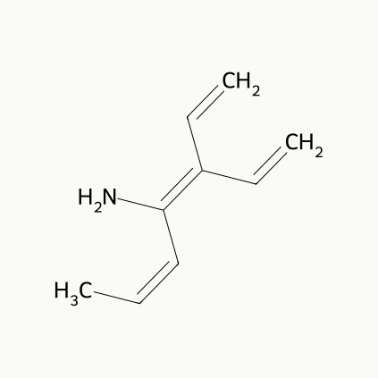 C=CC(C=C)=C(N)/C=C\C